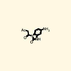 CC(=O)CC(=O)n1c(=O)[nH]c2cc(N)ccc21